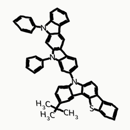 CC(C)(C)c1ccc2c(c1)c1c3sc4ccccc4c3ccc1n2-c1ccc2c3cc4c5ccccc5n(-c5ccccc5)c4cc3n(-c3ccccc3)c2c1